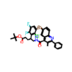 Cc1c(-c2ccccc2)nc2ccc(Br)cc2c1C(=O)NCC(CCC(=O)OC(C)(C)C)c1c(Cl)ccc(F)c1F